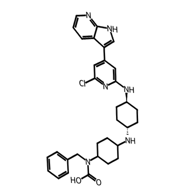 O=C(O)N(Cc1ccccc1)C1CCC(N[C@H]2CC[C@H](Nc3cc(-c4c[nH]c5ncccc45)cc(Cl)n3)CC2)CC1